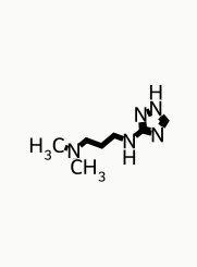 CN(C)CCCNc1nc[nH]n1